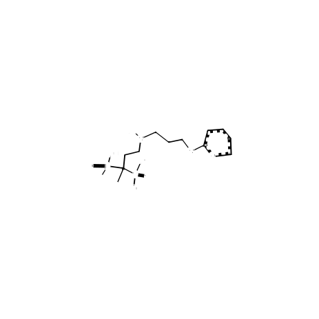 CN(CCCNc1ccccn1)CCC(O)(P(=O)(O)O)P(=O)(O)O